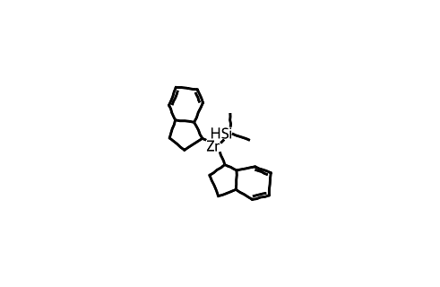 C[SiH](C)[Zr]([CH]1CCC2C=CC=CC21)[CH]1CCC2C=CC=CC21